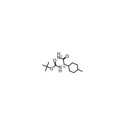 CC1CCC([C@H](NC(=O)OC(C)(C)C)C(N)=O)CC1